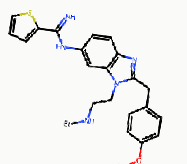 CCNCCn1c(Cc2ccc(OCC)cc2)nc2ccc(NC(=N)c3cccs3)cc21